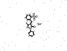 CC1=NN(c2ccccc2)C(=O)/C1=C/c1ccccc1S(=O)(=O)[O-].[Na+]